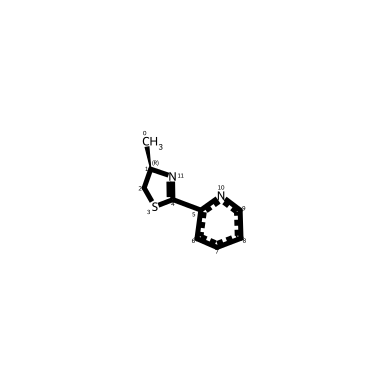 C[C@@H]1CSC(c2ccccn2)=N1